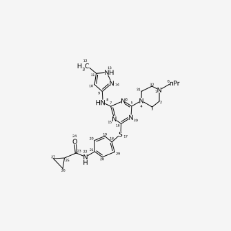 CCCN1CCN(c2nc(Nc3cc(C)[nH]n3)nc(Sc3ccc(NC(=O)C4CC4)cc3)n2)CC1